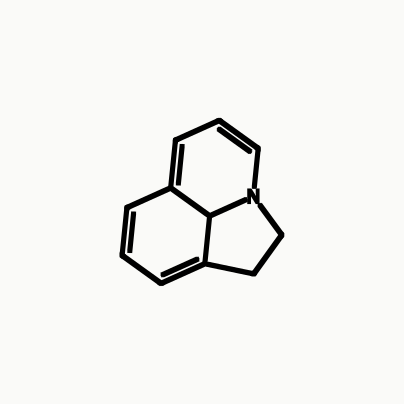 C1=CC2=CC=CN3CCC(=C1)C23